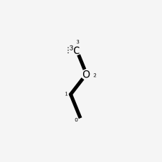 CCO[3C]